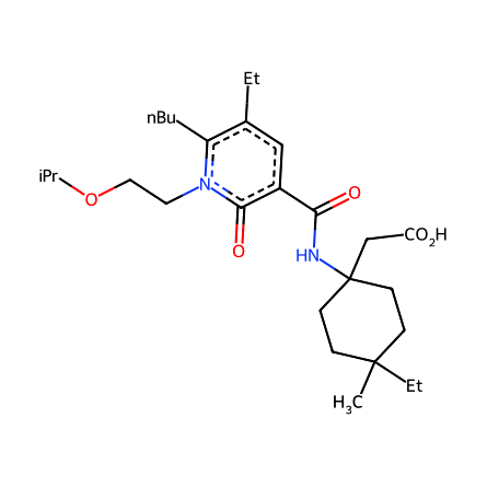 CCCCc1c(CC)cc(C(=O)NC2(CC(=O)O)CCC(C)(CC)CC2)c(=O)n1CCOC(C)C